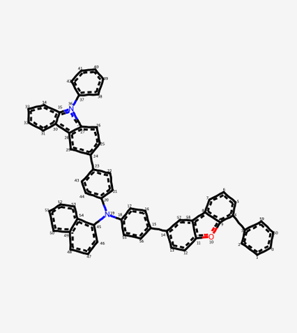 c1ccc(-c2cccc3c2oc2ccc(-c4ccc(N(c5ccc(-c6ccc7c(c6)c6ccccc6n7-c6ccccc6)cc5)c5cccc6ccccc56)cc4)cc23)cc1